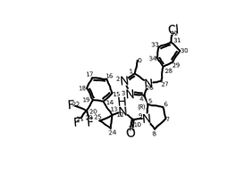 Cc1nnc([C@H]2CCCN2C(=O)NC2(c3ccccc3C(F)(F)F)CC2)n1Cc1ccc(Cl)cc1